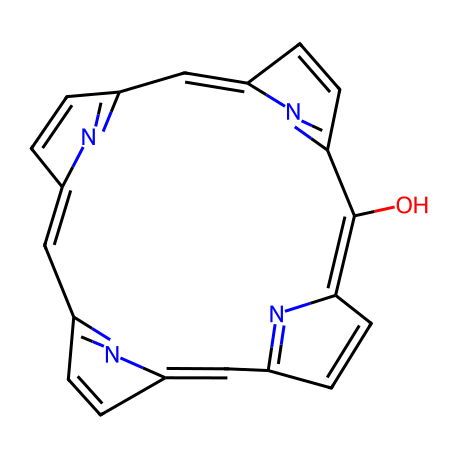 OC1=C2C=CC(=N2)C=C2C=CC(=N2)C=C2C=CC(=N2)C=C2C=CC1=N2